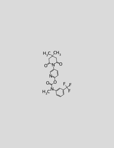 CN(C(=O)Oc1ccc(N2C(=O)CC(C)(C)CC2=O)cn1)c1cccc(C(F)(F)F)c1